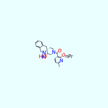 CCCOc1nc(C)ccc1C(=O)N1CC[C@]2(Cc3ccccc3CN2)[C@H](O)C1